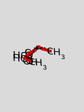 CCCCCCCC/C=C\CCCCCCCC(=O)OC[C@H]1OC(OCC)[C@H](O)[C@@H](O)[C@@H]1O